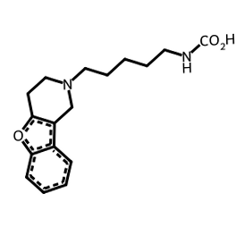 O=C(O)NCCCCCN1CCc2oc3ccccc3c2C1